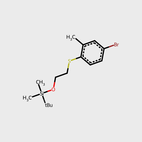 Cc1cc(Br)ccc1SCCO[Si](C)(C)C(C)(C)C